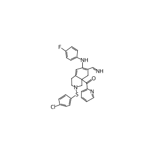 N=CC1=C(Nc2ccc(F)cc2)C=C2CCN(Sc3ccc(Cl)cc3)CC2(C(=O)c2ccccn2)C1